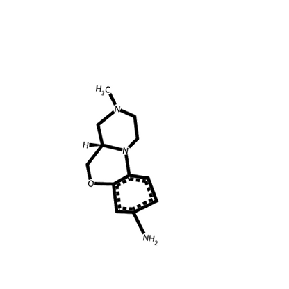 CN1CCN2c3ccc(N)cc3OC[C@@H]2C1